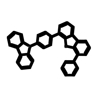 c1ccc(-c2cccc3c2oc2c(-c4ccc(-n5c6ccccc6c6ccccc65)cc4)cccc23)cc1